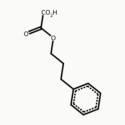 O=C(O)C(=O)OCCCc1ccccc1